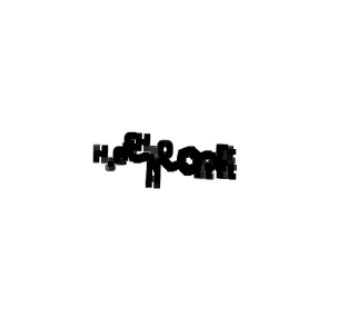 CC[N+](CC)(CC)Cc1ccc(CC(=O)NCCN(C)C)cc1